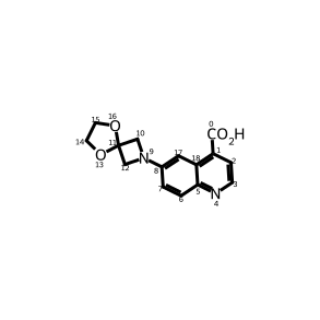 O=C(O)c1ccnc2ccc(N3CC4(C3)OCCO4)cc12